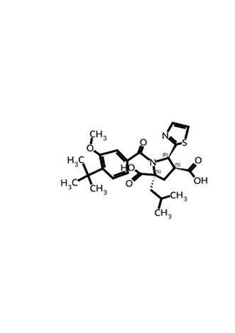 COc1cc(C(=O)N2[C@@H](c3nccs3)[C@@H](C(=O)O)C[C@@]2(CC(C)C)C(=O)O)ccc1C(C)(C)C